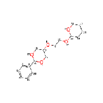 c1ccc(C2OCC(OCCOC3CCCCO3)CO2)cc1